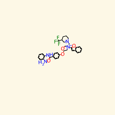 Nc1ccccc1NC(=O)c1ccc(OCC[N+](C=O)(CN2CCCC(C(F)(F)F)C2)c2cc3ccccc3o2)cc1